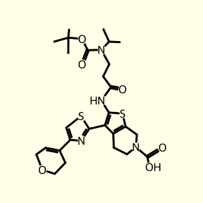 CC(C)N(CCC(=O)Nc1sc2c(c1-c1nc(C3=CCOCC3)cs1)CCN(C(=O)O)C2)C(=O)OC(C)(C)C